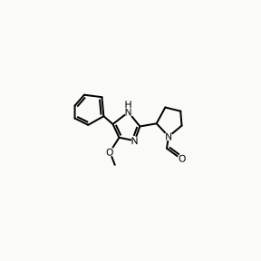 COc1nc(C2CCCN2C=O)[nH]c1-c1ccccc1